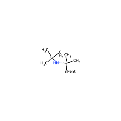 CCCCCC(C)(C)N[Si](C)(C)C